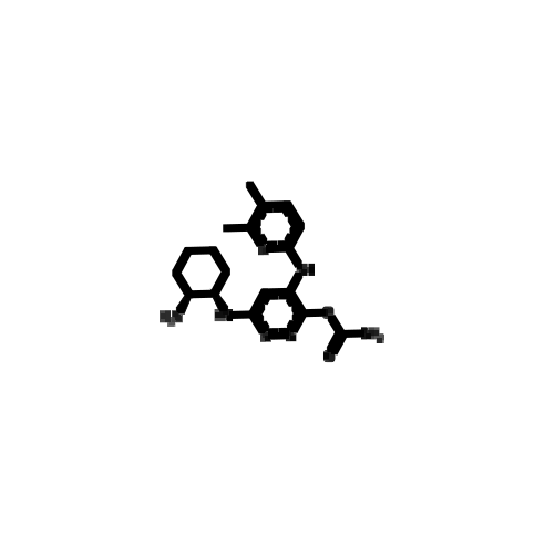 Cc1ccc(Nc2cc(N[C@@H]3CCCC[C@@H]3N)nnc2OC(N)=O)nc1C